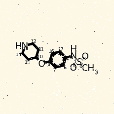 CS(=O)(=O)Nc1ccc(OC2CCNCC2)cc1